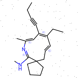 CCC#CC1=C(CC)/C=C/CC2(CCCC2)/C(NC)=N\C(C)=C\1